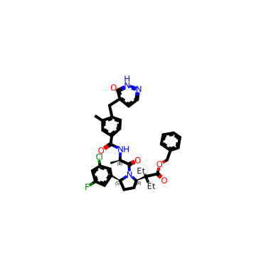 CCC(CC)(C(=O)OCc1ccccc1)[C@H]1CC[C@@H](c2cc(F)cc(Cl)c2)N1C(=O)[C@@H](C)NC(=O)c1ccc(Cc2ccn[nH]c2=O)c(C)c1